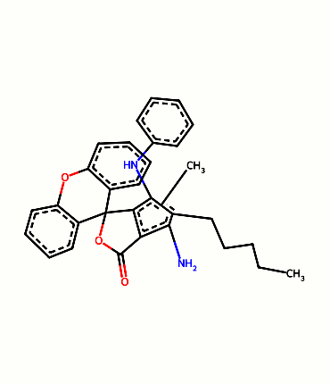 CCCCCc1c(C)c(Nc2ccccc2)c2c(c1N)C(=O)OC21c2ccccc2Oc2ccccc21